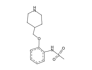 CS(=O)(=O)Nc1ccccc1OCC1CCNCC1